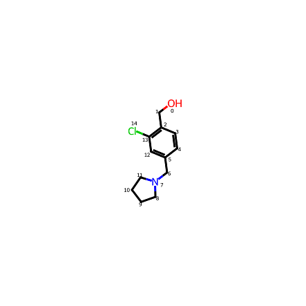 OCc1ccc(CN2CCCC2)cc1Cl